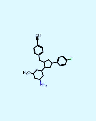 C#Cc1ccc(CC2CC(c3ccc(F)cc3)CC2C2CC(C)CC(N)C2)cc1